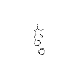 CN1C(=O)/C(=C\c2ccc(-c3ccccc3)cc2)SC1=S